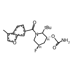 Cc1coc2cc(C(=O)N3C[C@H](F)C[C@@H](OC(N)=O)C3C(C)(C)C)ccc12